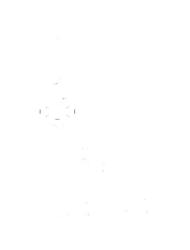 O=C(CCC(=O)N1Cc2ccccc2-c2nnn(CCCCCC(=O)NC(CCC(=O)NCCCCCCO[C@H]3O[C@H](CO)C(O)C(O)C3O)C(=O)NCCCCCCO[C@H]3O[C@H](CO)C(O)C(O)C3O)c2-c2ccccc21)NCCCCCCOP(=O)(O)OC1CCCC1